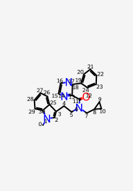 Cn1cc(CCN(CC2CC2)C(=O)c2nccnc2-c2ccccc2)c2ccccc21